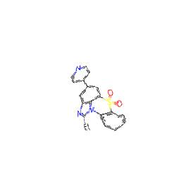 CCc1nc2cc(-c3ccncc3)cc3c2n1-c1ccccc1S3(=O)=O